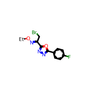 CCON=C(CBr)c1nnc(-c2ccc(F)cc2)o1